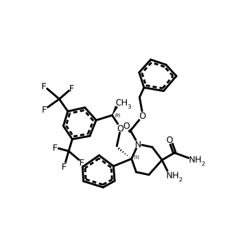 C[C@@H](OC[C@@]1(c2ccccc2)CCC(N)(C(N)=O)CN1C(=O)OCc1ccccc1)c1cc(C(F)(F)F)cc(C(F)(F)F)c1